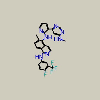 CNc1cc(-c2cccnc2Nc2c(C)ccc3c(Nc4ccc(F)c(C(F)(F)F)c4)nccc23)ncn1